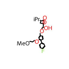 COCCCOc1cc(COCC(O)C2CC(C(C)C)C(=O)O2)ccc1-c1ccc(F)cc1